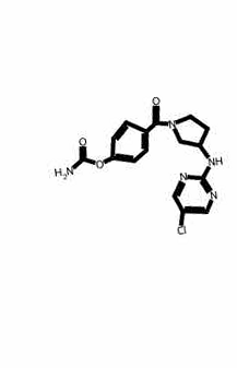 NC(=O)Oc1ccc(C(=O)N2CCC(Nc3ncc(Cl)cn3)C2)cc1